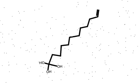 C=CCCCCCCCCCC(O)(O)O